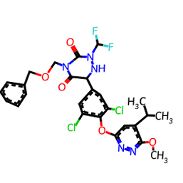 COc1nnc(Oc2c(Cl)cc(C3NN(C(F)F)C(=O)N(COCc4ccccc4)C3=O)cc2Cl)cc1C(C)C